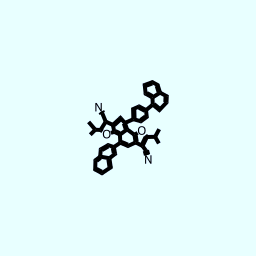 CC(C)c1oc2c(cc(-c3ccc4ccccc4c3)c3c4c(cc(-c5ccc(-c6cccc7ccccc67)cc5)c32)C(C#N)C(C(C)C)O4)c1C#N